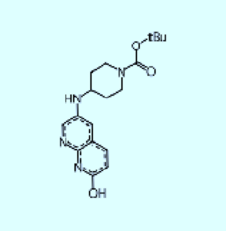 CC(C)(C)OC(=O)N1CCC(Nc2cnc3nc(O)ccc3c2)CC1